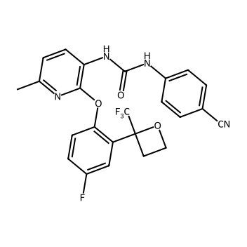 Cc1ccc(NC(=O)Nc2ccc(C#N)cc2)c(Oc2ccc(F)cc2C2(C(F)(F)F)CCO2)n1